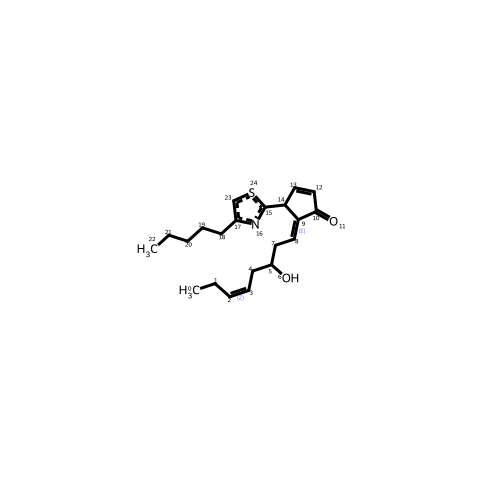 CC/C=C\CC(O)C/C=C1/C(=O)C=CC1c1nc(CCCCC)cs1